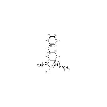 C=CCC1(NC(=O)OC(C)(C)C)CCN(Cc2ccccc2)CC1